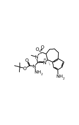 CN1C(N(N)C(=O)OC(C)(C)C)=N[C@]2(C)c3cc(N)ccc3CCCC2S1(=O)=O